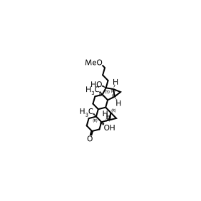 COCCC[C@]1(O)[C@H]2C[C@H]2C2C3C(CC[C@@]21C)[C@@]1(C)CCC(=O)C[C@@]1(O)[C@@H]1C[C@H]31